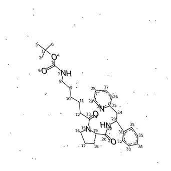 CC(C)(C)OC(=O)NCCCCCC(=O)N1CCCC1C(=O)NC(Cc1ccccn1)c1ccccc1